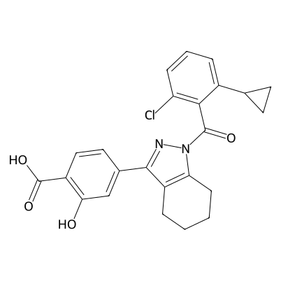 O=C(O)c1ccc(-c2nn(C(=O)c3c(Cl)cccc3C3CC3)c3c2CCCC3)cc1O